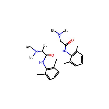 CCCN(CC)C(CC)C(=O)Nc1c(C)cccc1C.CCN(CC)CC(=O)Nc1c(C)cccc1C